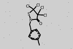 Cc1ccc(CN2SC(Cl)(Cl)C(Cl)(Cl)C2=O)cc1